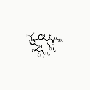 C=CC[C@H](NC(=O)OC(C)(C)C)c1cc(-c2c(NC(=O)[C@H](C)C=C)cnn2C(F)F)ccn1